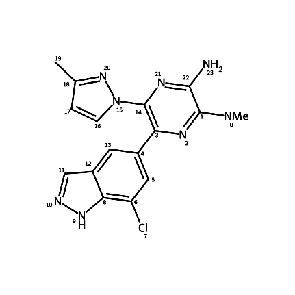 CNc1nc(-c2cc(Cl)c3[nH]ncc3c2)c(-n2ccc(C)n2)nc1N